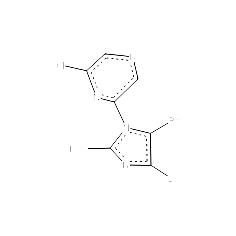 Cc1nc(Br)c(Br)n1-c1cncc(Cl)n1